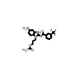 CC(=O)OCCCn1/c(=N/C(=O)c2cccc(C(F)(F)F)c2)[nH]c2cc(N)ccc21